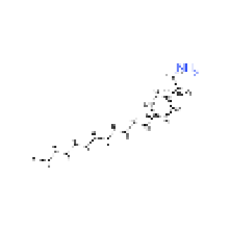 CCCCCCCCCCCCc1ccc(C(C)CN)cc1